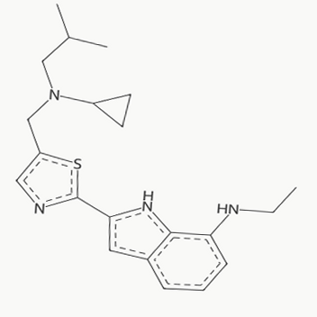 CCNc1cccc2cc(-c3ncc(CN(CC(C)C)C4CC4)s3)[nH]c12